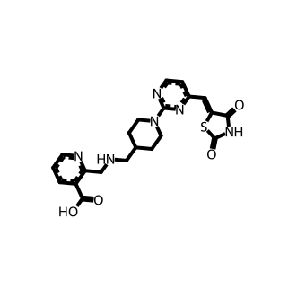 O=C1NC(=O)C(=Cc2ccnc(N3CCC(CNCc4ncccc4C(=O)O)CC3)n2)S1